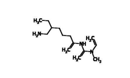 C=CN(C)C(=C)NC(=C)CCCC(CC)CN